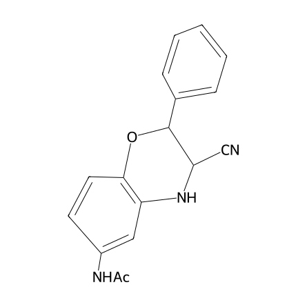 CC(=O)Nc1ccc2c(c1)NC(C#N)C(c1ccccc1)O2